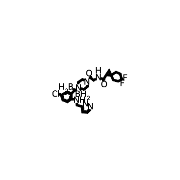 BC(B)(c1cc(Cl)ccc1NCc1cccnn1)N1CCN(C(=O)CNC(=O)C2CC23CCC(F)(F)CC3)CC1